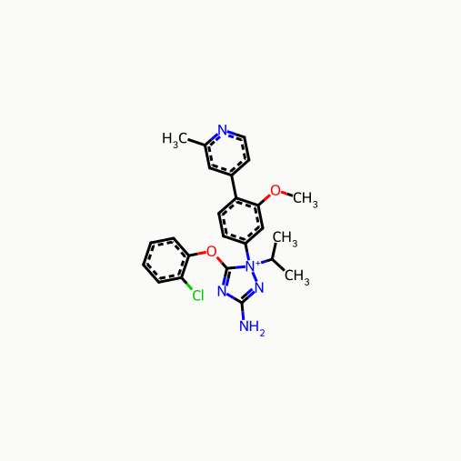 COc1cc([N+]2(C(C)C)N=C(N)N=C2Oc2ccccc2Cl)ccc1-c1ccnc(C)c1